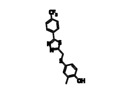 Cc1cc(SCc2nnc(-c3ccc(C(F)(F)F)cc3)s2)ccc1O